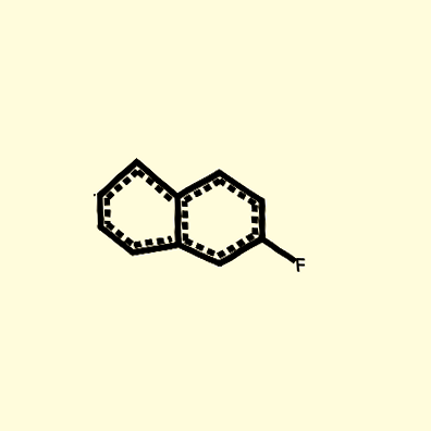 Fc1ccc2c[c]ccc2c1